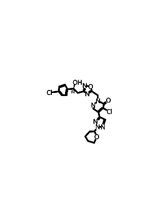 O=c1c(Cl)c(-c2cnn(C3CCCCO3)n2)cnn1Cc1nc(C[C@H](O)c2ccc(Cl)cc2)no1